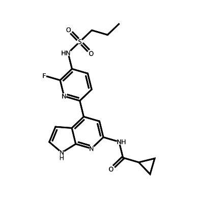 CCCS(=O)(=O)Nc1ccc(-c2cc(NC(=O)C3CC3)nc3[nH]ccc23)nc1F